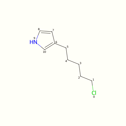 ClCCCCCc1cc[nH]c1